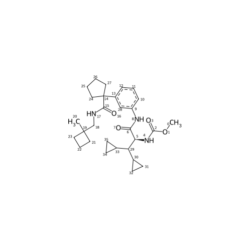 COC(=O)N[C@H](C(=O)Nc1cccc(C2(C(=O)NCC3(C)CCC3)CCCC2)c1)C(C1CC1)C1CC1